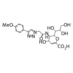 COc1ccc(-c2cn(CC(=O)N[C@@H]3C(O)C=C(C(=O)O)OC3C(O)C(O)CO)nn2)cc1